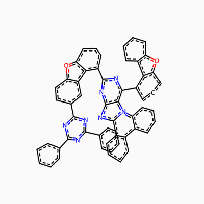 c1ccc(-c2nc(-c3ccccc3)nc(-c3ccc4oc5cccc(-c6nc(-c7cccc8oc9ccccc9c78)c7c(n6)nc6c8ccccc8c8ccccc8n67)c5c4c3)n2)cc1